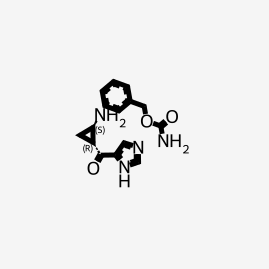 NC(=O)OCc1ccccc1.N[C@H]1C[C@H]1C(=O)c1cnc[nH]1